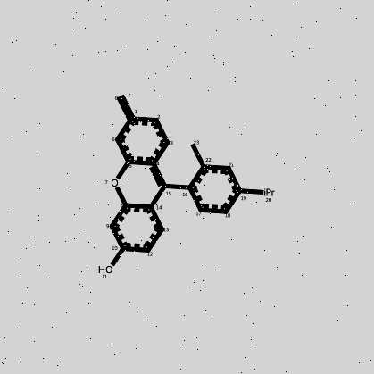 C=c1ccc2c(c1)Oc1cc(O)ccc1C=2c1ccc(C(C)C)cc1C